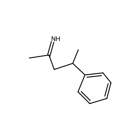 CC(=N)CC(C)c1ccccc1